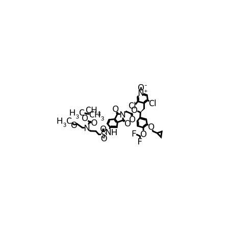 COCCN(CCCS(=O)(=O)Nc1ccc2c(c1)C(=O)N(CC(=O)O[C@@H](Cc1c(Cl)c[n+]([O-])cc1Cl)c1ccc(OC(F)F)c(OCC3CC3)c1)C2=O)C(=O)OC(C)(C)C